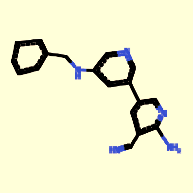 N=Cc1cc(-c2cncc(NCc3ccccc3)c2)cnc1N